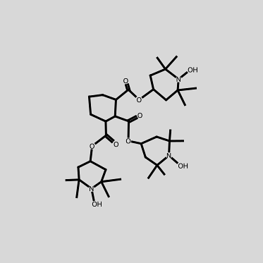 CC1(C)CC(OC(=O)C2CCCC(C(=O)OC3CC(C)(C)N(O)C(C)(C)C3)C2C(=O)OC2CC(C)(C)N(O)C(C)(C)C2)CC(C)(C)N1O